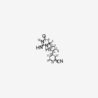 Cc1cc([C@@]2(C)CC(=O)N(C)C(=N)N2)sc1-c1cccc(C#N)c1